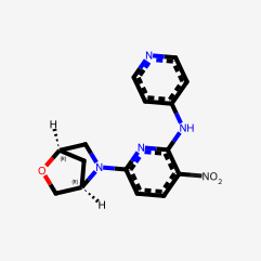 O=[N+]([O-])c1ccc(N2C[C@H]3C[C@@H]2CO3)nc1Nc1ccncc1